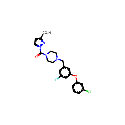 O=C(O)c1ccn(C(=O)N2CCN(Cc3cc(F)cc(Oc4cccc(Cl)c4)c3)CC2)n1